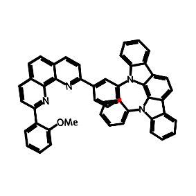 COc1ccccc1-c1ccc2ccc3ccc(-c4cccc(-n5c6ccccc6c6ccc7c8ccccc8n(-c8ccccc8)c7c65)c4)nc3c2n1